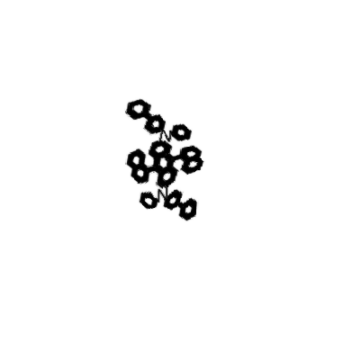 C1=CCCC(N(c2ccc(-c3ccccc3)cc2)c2ccc3c(-c4cccc5ccccc45)c4cc(N(c5ccccc5)c5ccc(C6=CCCC=C6)cc5)ccc4c(-c4cccc5ccccc45)c3c2)=C1